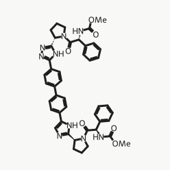 COC(=O)N[C@@H](C(=O)N1CCC[C@H]1c1ncc(-c2ccc(-c3ccc(-c4nnc([C@@H]5CCCN5C(=O)[C@H](NC(=O)OC)c5ccccc5)[nH]4)cc3)cc2)[nH]1)c1ccccc1